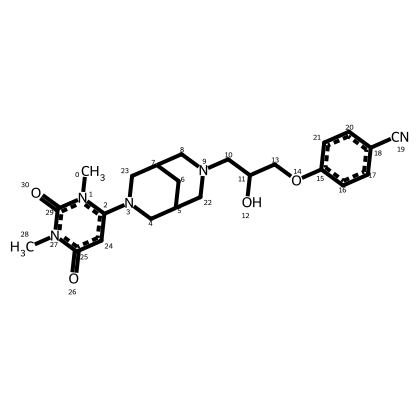 Cn1c(N2CC3CC(CN(CC(O)COc4ccc(C#N)cc4)C3)C2)cc(=O)n(C)c1=O